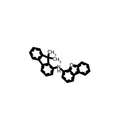 CC1(C)c2ccccc2-c2cccc(Nc3cccc4c3oc3ccccc34)c21